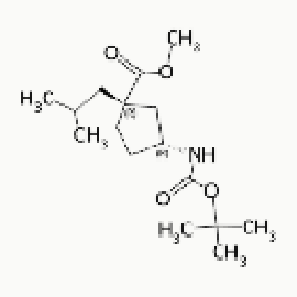 COC(=O)[C@@]1(CC(C)C)CC[C@@H](NC(=O)OC(C)(C)C)C1